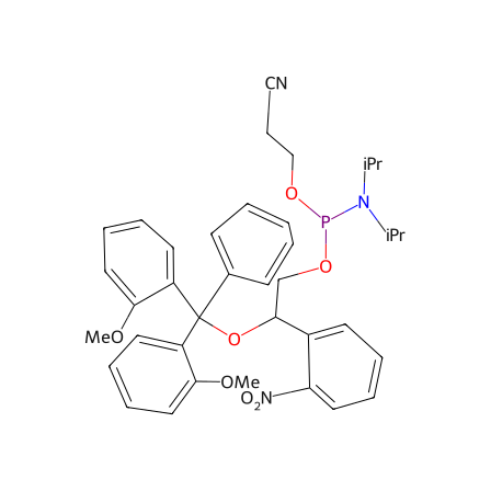 COc1ccccc1C(OC(COP(OCCC#N)N(C(C)C)C(C)C)c1ccccc1[N+](=O)[O-])(c1ccccc1)c1ccccc1OC